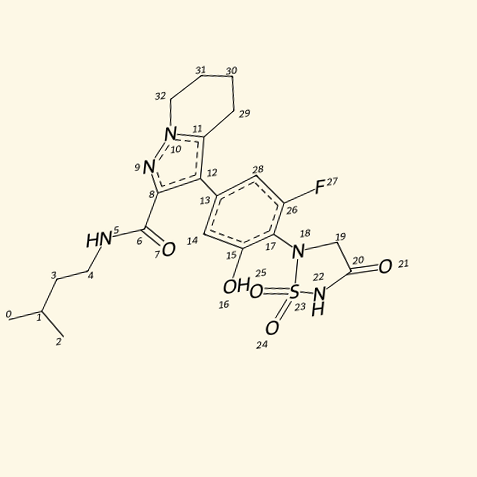 CC(C)CCNC(=O)c1nn2c(c1-c1cc(O)c(N3CC(=O)NS3(=O)=O)c(F)c1)CCCC2